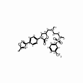 Cc1nc(-c2ccc(N3CC(CN(C)CCN(C)S(=O)(=O)c4cccc(C(F)(F)F)c4)OC3=O)cc2)no1